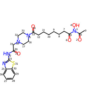 CC(=O)N(O)C(=O)CCCCCCC(=O)N1CCN(CC(=O)Nc2nc3ccccc3s2)CC1